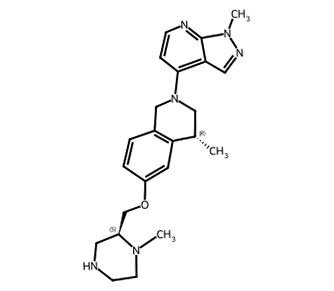 C[C@H]1CN(c2ccnc3c2cnn3C)Cc2ccc(OC[C@@H]3CNCCN3C)cc21